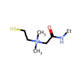 CCNC(=O)C[N+](C)(C)CCS